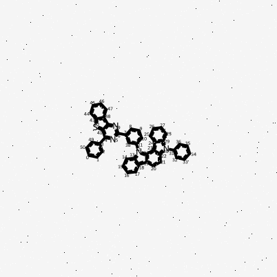 c1ccc(-c2nc(-c3cccc(-n4c5ccccc5c5ccc6c(c7ccccc7n6-c6ccccc6)c54)c3)nc3c2sc2ccccc23)cc1